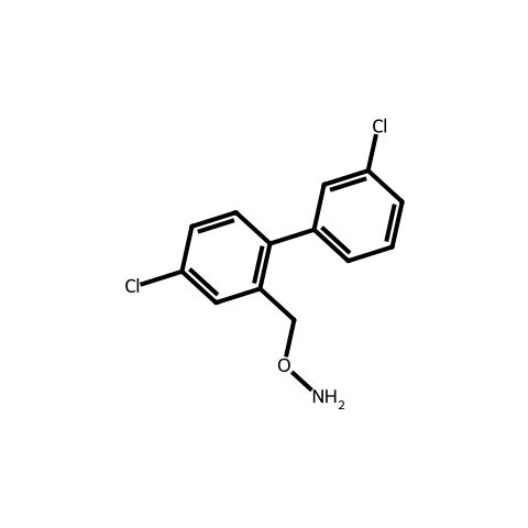 NOCc1cc(Cl)ccc1-c1cccc(Cl)c1